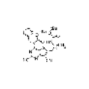 C[C@@H](Cc1sc2c(N(Cc3cccs3)C(=O)OC(C)(C)C)nc(C#N)nc2c1C#N)NC(=O)OC(C)(C)C